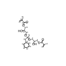 C=C(C)C(=O)OCC(O)COC(C)(Cc1ccccc1)OCC(O)COC(=O)C(=C)C